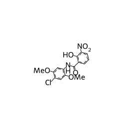 COc1cc(NC(=O)c2cccc([N+](=O)[O-])c2O)c(OC)cc1Cl